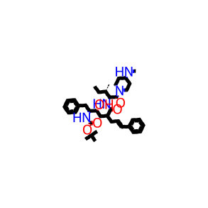 CC[C@H](C)[C@H](NC(=O)C(CC=Cc1ccccc1)CC(O)C(Cc1ccccc1)NC(=O)OC(C)(C)C)C(=O)N1CCC(NC)CC1